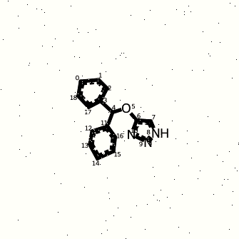 c1ccc(C(Oc2c[nH]nn2)c2ccccc2)cc1